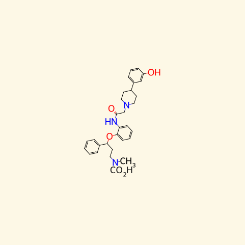 CN(CCC(Oc1ccccc1NC(=O)CN1CCC(c2cccc(O)c2)CC1)c1ccccc1)C(=O)O